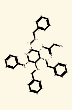 O=C(CCl)O[C@@H]1[C@H](OCc2ccccc2)[C@@H](OCc2ccccc2)[C@H](Sc2ccccc2)O[C@@H]1COCc1ccccc1